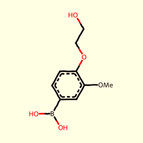 COc1cc(B(O)O)ccc1OCCO